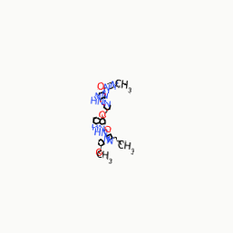 CCCCc1cc(NC(=O)Nc2ccc(OCc3ccnc(Nc4cnc(C(=O)N5CCN(C)CC5)cn4)c3)c3ccccc23)n(-c2cccc(COC)c2)n1